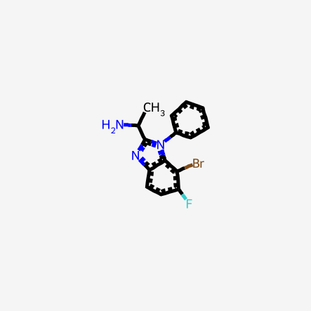 CC(N)c1nc2ccc(F)c(Br)c2n1-c1ccccc1